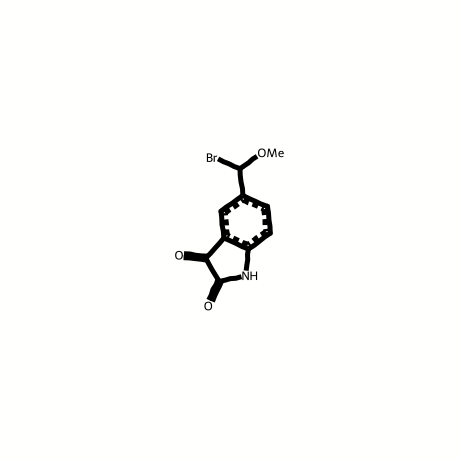 COC(Br)c1ccc2c(c1)C(=O)C(=O)N2